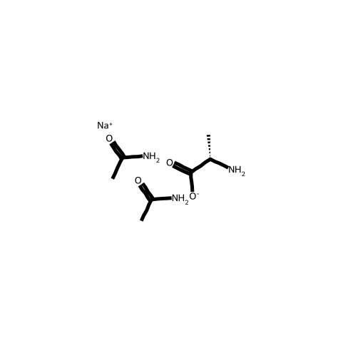 CC(N)=O.CC(N)=O.C[C@H](N)C(=O)[O-].[Na+]